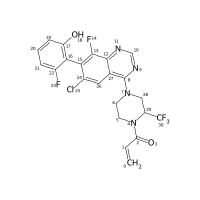 C=CC(=O)N1CCN(c2ncnc3c(F)c(-c4c(O)cccc4F)c(Cl)cc23)CC1C(F)(F)F